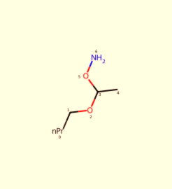 CCCCOC(C)ON